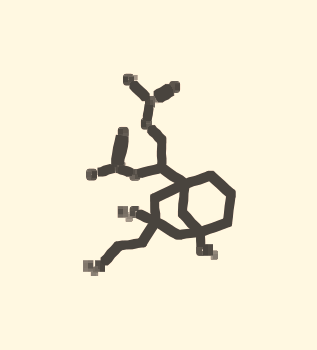 CC1(CCN)CC2(C)CCCC(C(CO[N+](=O)[O-])O[N+](=O)[O-])(C1)C2